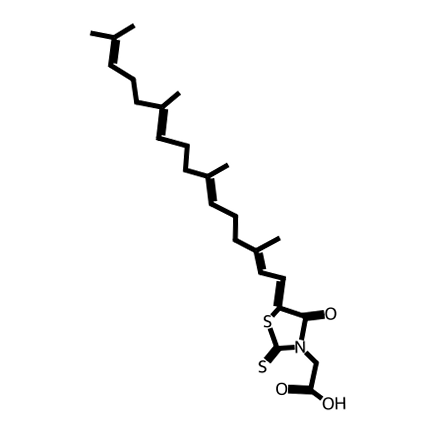 CC(C)=CCC/C(C)=C/CC/C(C)=C/CC/C(C)=C/C=C1\SC(=S)N(CC(=O)O)C1=O